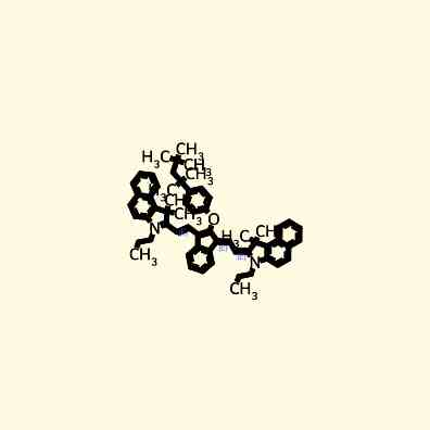 CCCN1/C(=C/C=C2C(Oc3ccc(C(C)(C)CC(C)(C)C)cc3)=C(/C=C/C3=[N+](CCC)c4ccc5ccccc5c4C3(C)C)c3ccccc3/2)C(C)(C)c2c1ccc1ccccc21